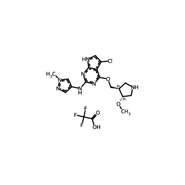 CO[C@H]1CNC[C@@H]1COc1nc(Nc2cnn(C)c2)nc2[nH]cc(Cl)c12.O=C(O)C(F)(F)F